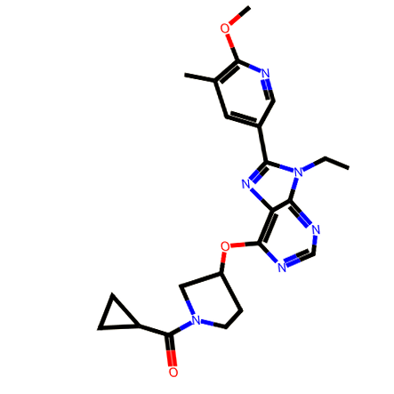 CCn1c(-c2cnc(OC)c(C)c2)nc2c(OC3CCN(C(=O)C4CC4)C3)ncnc21